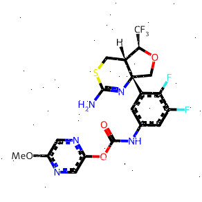 COc1cnc(OC(=O)Nc2cc(F)c(F)c([C@]34CO[C@H](C(F)(F)F)[C@H]3CSC(N)=N4)c2)cn1